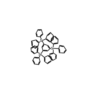 c1ccc([Si](c2ccccc2)(c2ccccc2)c2cc([Si](c3ccccc3)(c3ccccc3)c3ccccc3)cc([Si](c3ccccc3)(c3ccccc3)c3ccccc3)c2)cc1